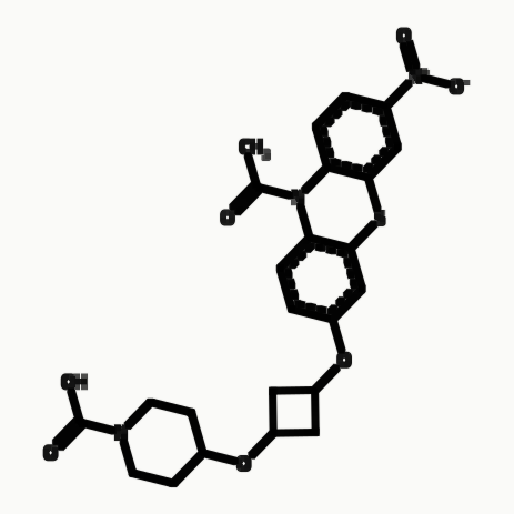 CC(=O)N1c2ccc(OC3CC(OC4CCN(C(=O)O)CC4)C3)cc2Sc2cc([N+](=O)[O-])ccc21